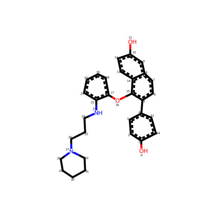 Oc1ccc(-c2ccc3cc(O)ccc3c2Oc2ccccc2NCCCN2CCCCC2)cc1